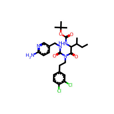 CCC(C)C(NC(=O)OC(C)(C)C)C(=O)N(CCc1ccc(Cl)c(Cl)c1)C(=O)NCc1ccc(N)nc1